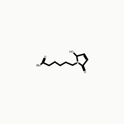 CC(C)(C)C(=O)CCCCCN1C(=O)C=CC1O